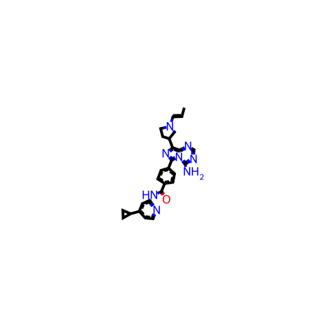 CC=CN1CCC(c2nc(-c3ccc(C(=O)Nc4cc(C5CC5)ccn4)cc3)n3c(N)ncnc23)C1